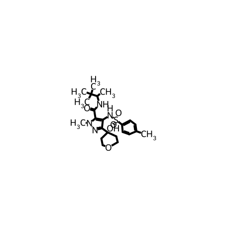 Cc1ccc(S(=O)(=O)Nc2c(C3(O)CCOCC3)nn(C)c2C(=O)NC(C)C(C)(C)C)cc1